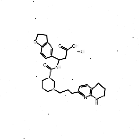 Cl.O=C(O)CC(NC(=O)C1CCCN(CCCc2ccc3c(n2)NCCC3)C1)c1ccc2c(c1)CCO2